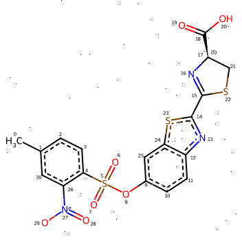 Cc1ccc(S(=O)(=O)Oc2ccc3nc(C4=N[C@@H](C(=O)O)CS4)sc3c2)c([N+](=O)[O-])c1